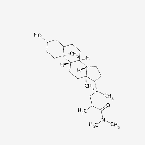 CC(CC(C)[C@H]1CC[C@H]2[C@@H]3CCC4C[C@@H](O)CC[C@]4(C)[C@H]3CC[C@]12C)C(=O)N(C)C